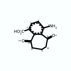 Nc1ccc(C(=O)O)c2c1C(=O)CCCC2=O